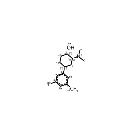 CN(C)[C@H]1C[C@@H](c2cc(F)cc(C(F)(F)F)c2)CC[C@@H]1O